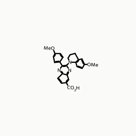 COc1ccc(-c2nc3ccc(C(=O)O)cc3nc2N2CCCc3cc(OC)ccc32)cc1